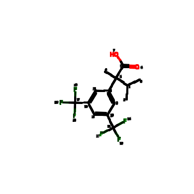 CC(C)C(C)(C(=O)O)c1cc(C(F)(F)F)cc(C(F)(F)F)c1